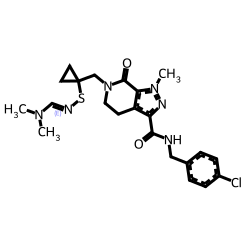 CN(C)/C=N/SC1(CN2CCc3c(C(=O)NCc4ccc(Cl)cc4)nn(C)c3C2=O)CC1